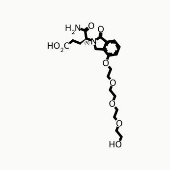 NC(=O)[C@H](CCC(=O)O)N1Cc2c(OCCOCCOCCOCCO)cccc2C1=O